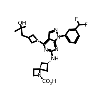 CC(C)(O)CC1CN(c2nc(N[C@H]3C[C@@]4(CCN4C(=O)O)C3)nc3c2cnn3-c2cccc(C(F)F)c2)C1